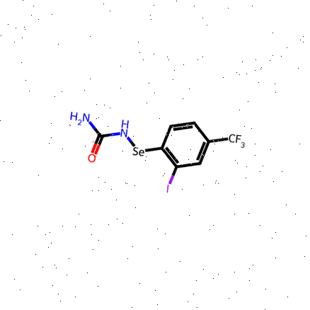 NC(=O)N[Se]c1ccc(C(F)(F)F)cc1I